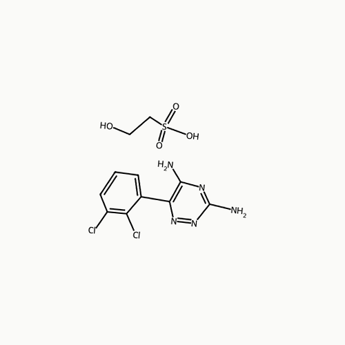 Nc1nnc(-c2cccc(Cl)c2Cl)c(N)n1.O=S(=O)(O)CCO